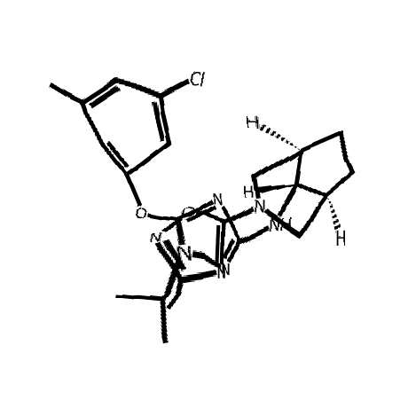 Cc1cc(Cl)cc(Oc2nc(N[C@@H]3[C@@H]4CC[C@H]3CN(c3nc(C)no3)C4)nn2C(C)C)c1